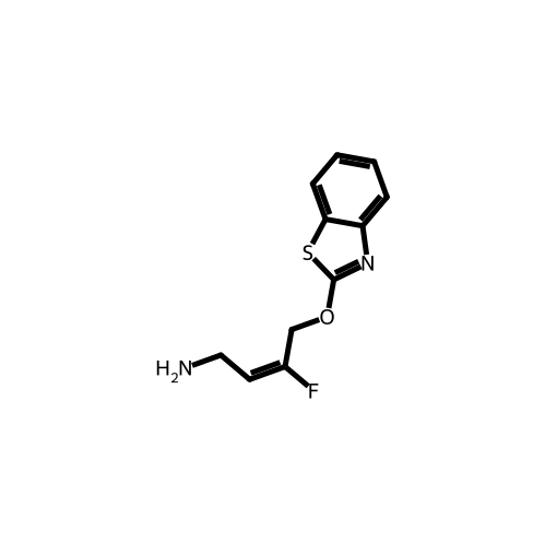 NC/C=C(/F)COc1nc2ccccc2s1